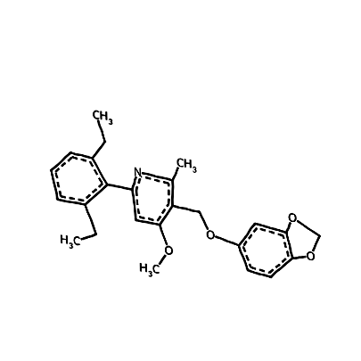 CCc1cccc(CC)c1-c1cc(OC)c(COc2ccc3c(c2)OCO3)c(C)n1